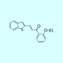 CCOc1ccccc1C(=O)/C=C/c1cc2ccccc2s1